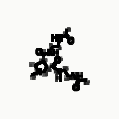 CC(=O)NCCNC(=O)[C@@H]1CN(C)C[C@H]1C(=O)NCCNC(C)=O